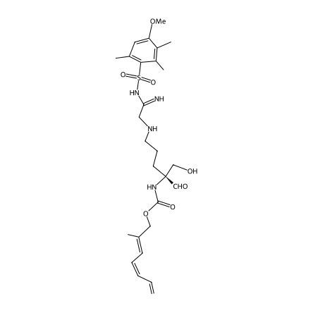 C=C/C=C\C=C(/C)COC(=O)N[C@@](C=O)(CO)CCCNCC(=N)NS(=O)(=O)c1c(C)cc(OC)c(C)c1C